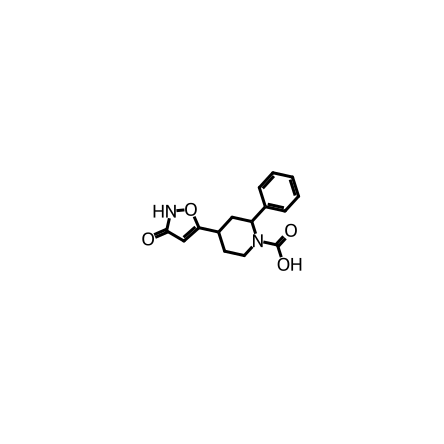 O=C(O)N1CCC(c2cc(=O)[nH]o2)CC1c1ccccc1